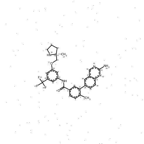 Cc1ccc(C(=O)Nc2cc(OC[C@]3(C)CCCN3)cc(C(F)(F)F)c2)cc1-c1ccc2nc(N)ncc2c1